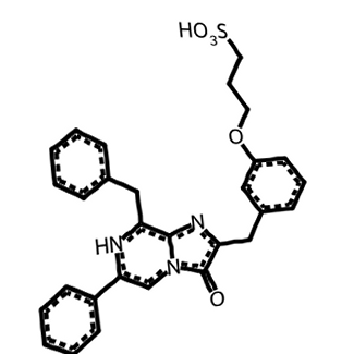 O=c1c(Cc2cccc(OCCCS(=O)(=O)O)c2)nc2c(Cc3ccccc3)[nH]c(-c3ccccc3)cn1-2